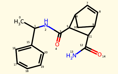 CC(NC(=O)C1C2C=CC(C2)C1C(N)=O)c1ccccc1